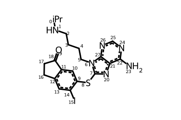 CC(C)NCCCCn1c(Sc2cc3c(cc2I)CCC3=O)nc2c(N)ncnc21